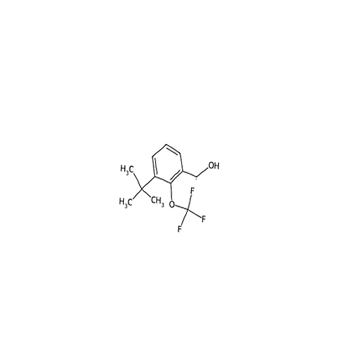 CC(C)(C)c1cccc([CH]O)c1OC(F)(F)F